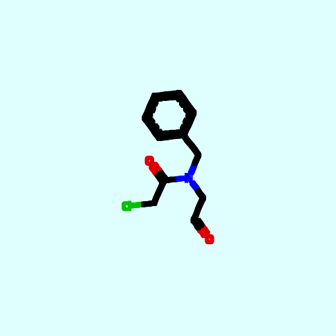 O=CCN(Cc1ccccc1)C(=O)CCl